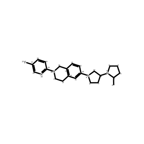 CC1CCCN1C1CCN(c2ccc3c(c2)CCN(c2ccc(F)cn2)C3)C1